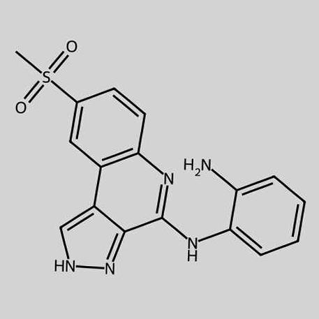 CS(=O)(=O)c1ccc2nc(Nc3ccccc3N)c3n[nH]cc3c2c1